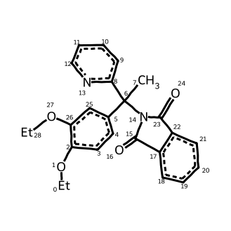 CCOc1ccc(C(C)(c2ccccn2)N2C(=O)c3ccccc3C2=O)cc1OCC